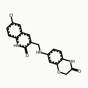 O=C1COc2cc(NCc3cc4cc(Cl)ccc4[nH]c3=O)ccc2N1